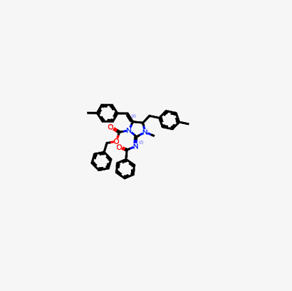 Cc1ccc(/C=C2/C(Cc3ccc(C)cc3)N(C)/C(=N/C(=O)c3ccccc3)N2C(=O)OCc2ccccc2)cc1